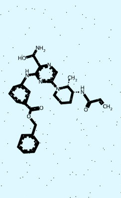 C=CC(=O)N[C@@H]1CCCN(c2cnc(C(N)O)c(Nc3cccc(C(=O)OCc4ccccc4)c3)n2)[C@@H]1C